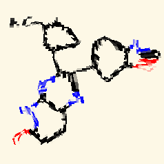 N#Cc1cccc(-c2nc3[nH]c(=O)ccc3nc2-c2ccc3ncoc3c2)c1